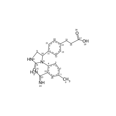 Cc1ccc(N2C(=O)NCC2c2ccc(CCC(=O)O)cc2)c(C(=N)N)c1